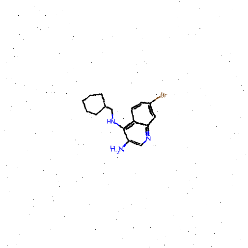 Nc1cnc2cc(Br)ccc2c1NCC1CCCCC1